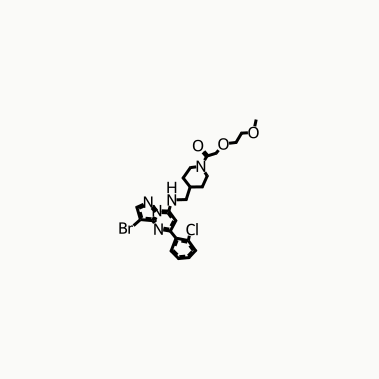 COCCOCC(=O)N1CCC(CNc2cc(-c3ccccc3Cl)nc3c(Br)cnn23)CC1